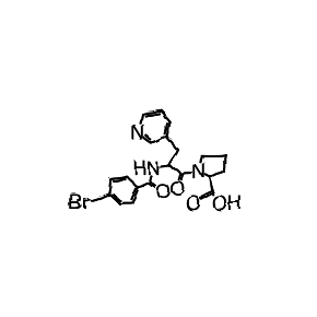 O=C(NC(Cc1cccnc1)C(=O)N1CCC[C@H]1C(=O)O)c1ccc(Br)cc1